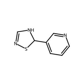 C1=NSC(c2cccnc2)N1